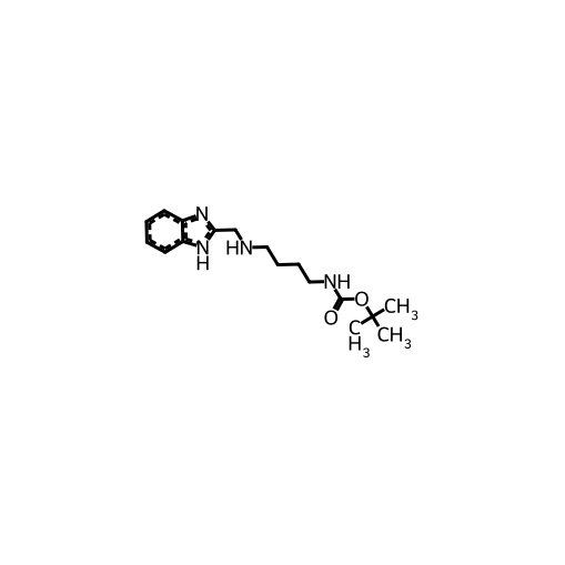 CC(C)(C)OC(=O)NCCCCNCc1nc2ccccc2[nH]1